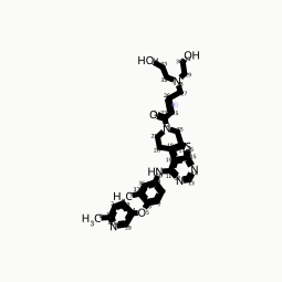 Cc1ccc(Oc2ccc(Nc3ncnc4sc5c(c34)CCN(C(=O)/C=C/CN(CCO)CCO)C5)cc2C)cn1